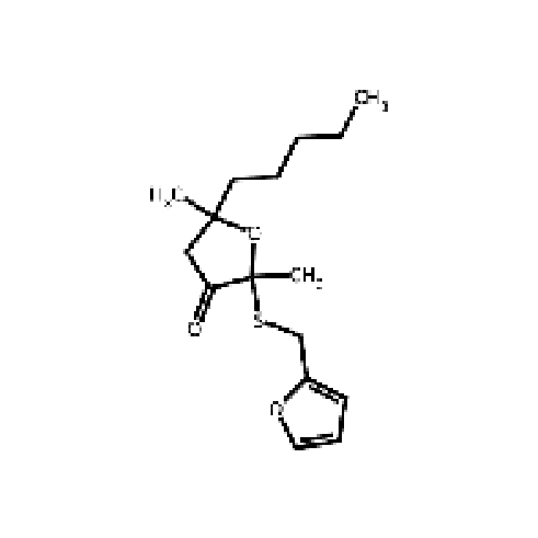 CCCCCC1(C)CC(=O)C(C)(SCc2ccco2)O1